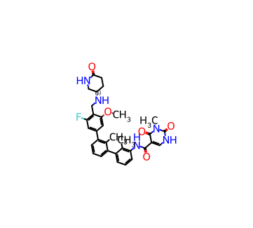 COc1cc(-c2cccc(-c3cccc(NC(=O)c4c[nH]c(=O)n(C)c4=O)c3C)c2C)cc(F)c1CN[C@H]1CCC(=O)NC1